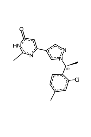 Cc1ccc([C@H](C)n2cc(-c3cc(=O)[nH]c(C)n3)cn2)c(Cl)c1